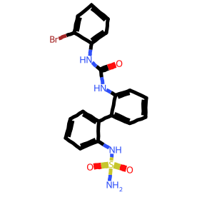 NS(=O)(=O)Nc1ccccc1-c1ccccc1NC(=O)Nc1ccccc1Br